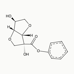 O=C(Oc1ccccc1)[C@@]1(O)CO[C@@H]2[C@@H](O)CO[C@@H]21